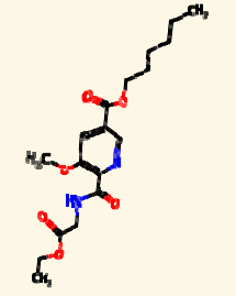 CCCCCCOC(=O)c1cnc(C(=O)NCC(=O)OCC)c(OC)c1